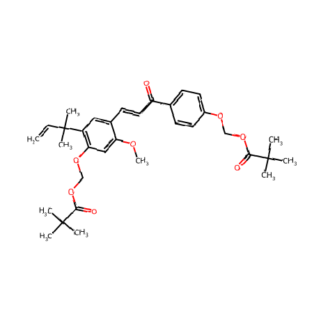 C=CC(C)(C)c1cc(C=CC(=O)c2ccc(OCOC(=O)C(C)(C)C)cc2)c(OC)cc1OCOC(=O)C(C)(C)C